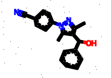 Cc1nn(-c2ccc(C#N)cc2)c(C)c1C(O)c1ccccc1